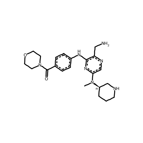 CN(c1cnc(CN)c(Nc2ccc(C(=O)N3CCOCC3)cc2)n1)[C@@H]1CCCNC1